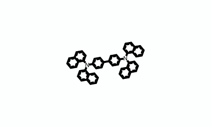 c1ccc2c(N(c3ccc(-c4ccc(N(c5cccc6ccccc56)c5cccc6ccccc56)cc4)cc3)c3cccc4ccccc34)cccc2c1